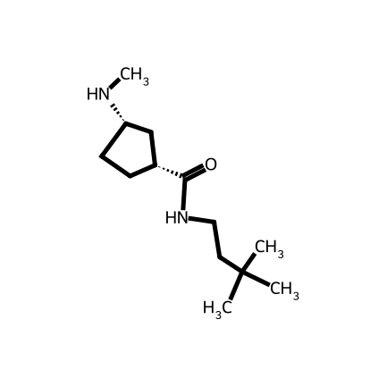 CN[C@H]1CC[C@@H](C(=O)NCCC(C)(C)C)C1